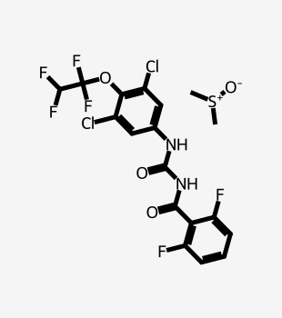 C[S+](C)[O-].O=C(NC(=O)c1c(F)cccc1F)Nc1cc(Cl)c(OC(F)(F)C(F)F)c(Cl)c1